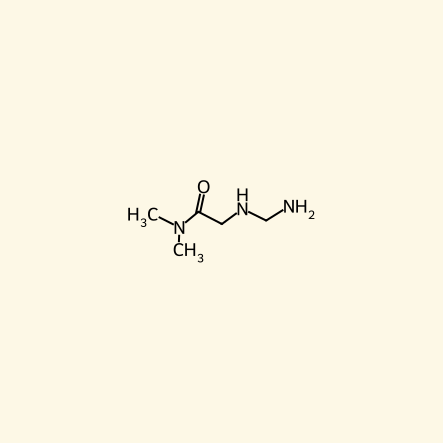 CN(C)C(=O)CNCN